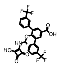 CC(Nc1c(O)c(=O)c1=O)Oc1c(-c2cccc(C(F)(F)F)c2)cc(C(=O)O)cc1-c1cccc(C(F)(F)F)c1